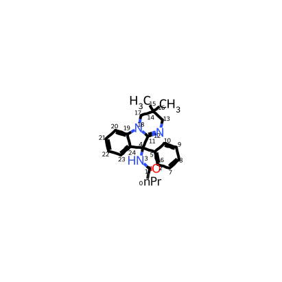 CCCC(=O)NC1(c2ccccc2)C2=NCC(C)(C)CN2c2ccccc21